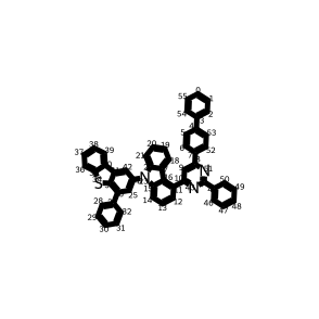 c1ccc(-c2ccc(-c3cc(-c4cccc5c4c4ccccc4n5-c4cc(-c5ccccc5)c5sc6ccccc6c5c4)nc(-c4ccccc4)n3)cc2)cc1